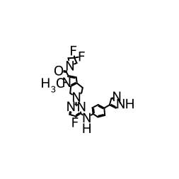 Cn1c(C(=O)N2CC(F)(F)C2)cc2c1CN(c1ncc(F)c(Nc3ccc(-c4cn[nH]c4)cc3)n1)CC2